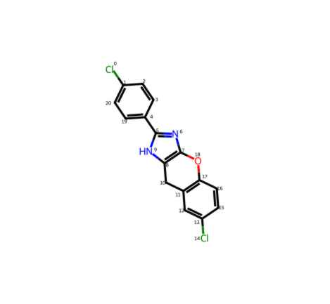 Clc1ccc(-c2nc3c([nH]2)Cc2cc(Cl)ccc2O3)cc1